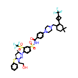 C[C@H](C[C@H](Sc1ccccc1)N(C)CCO)Nc1ccc(S(=O)(=O)NC(=O)c2ccc(N3CCN(CC4=C(C56CC(C(F)(F)F)(C5)C6)CC(C)(C)CC4)CC3)cc2)cc1S(=O)(=O)C(F)(F)F